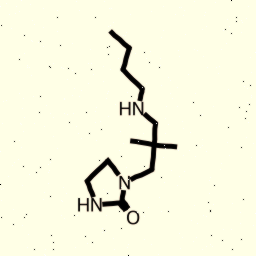 CCCCNCC(C)(C)CN1CCNC1=O